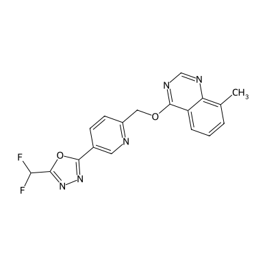 Cc1cccc2c(OCc3ccc(-c4nnc(C(F)F)o4)cn3)ncnc12